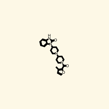 Cc1ccoc1C(=O)N1CCC(N2CCC(n3c(=O)[nH]c4ccccc43)CC2)CC1